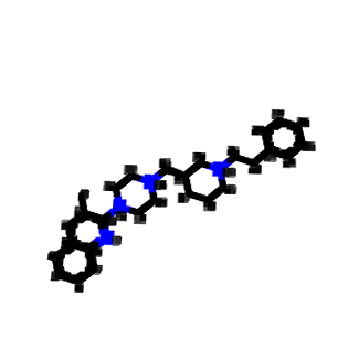 Cc1cc2ccccc2nc1N1CCN(C[C@@H]2CCCN(CCc3ccccc3)C2)CC1